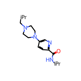 CC(C)CN1CCN(c2ccc(C(=O)NC(C)C)nc2)CC1